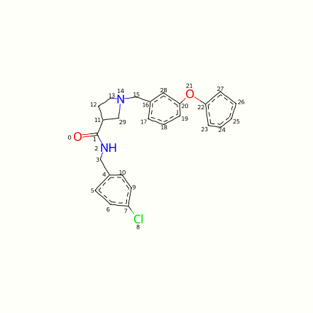 O=C(NCc1ccc(Cl)cc1)C1CCN(Cc2cccc(Oc3ccccc3)c2)C1